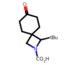 CC(C)(C)C1N(C(=O)O)CC12CCC(=O)CC2